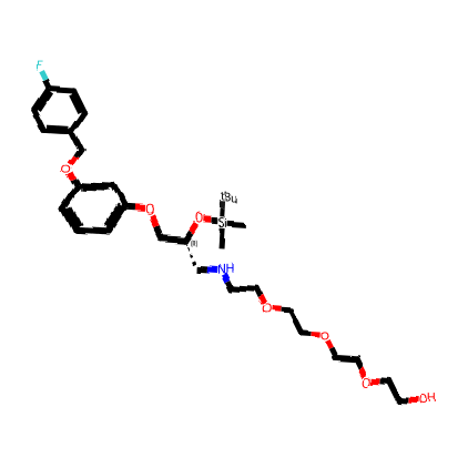 CC(C)(C)[Si](C)(C)O[C@H](CNCCOCCOCCOCCO)COc1cccc(OCc2ccc(F)cc2)c1